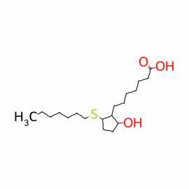 CCCCCCCSC1CCC(O)C1CCCCCCC(=O)O